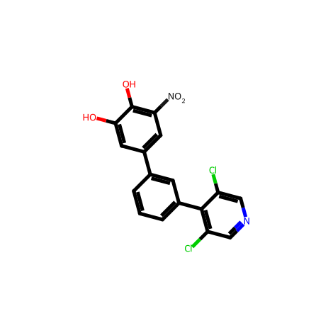 O=[N+]([O-])c1cc(-c2cccc(-c3c(Cl)cncc3Cl)c2)cc(O)c1O